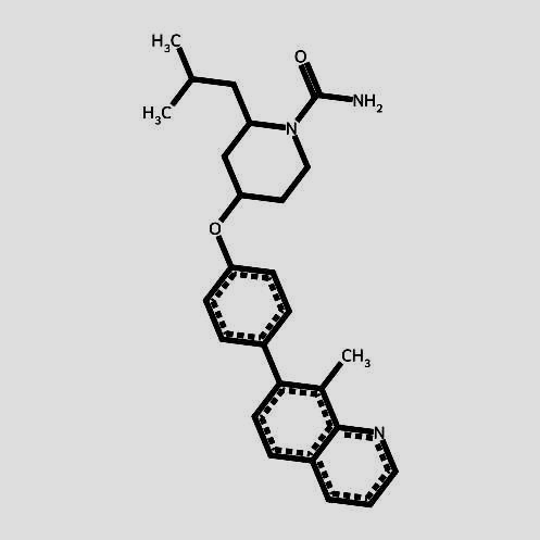 Cc1c(-c2ccc(OC3CCN(C(N)=O)C(CC(C)C)C3)cc2)ccc2cccnc12